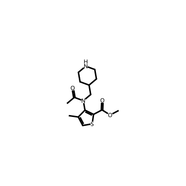 COC(=O)c1scc(C)c1N(CC1CCNCC1)C(C)=O